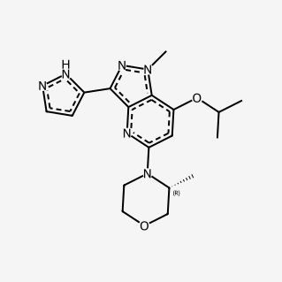 CC(C)Oc1cc(N2CCOC[C@H]2C)nc2c(-c3ccn[nH]3)nn(C)c12